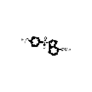 COc1cccc2c1ccn2S(=O)(=O)c1ccc(C)cc1